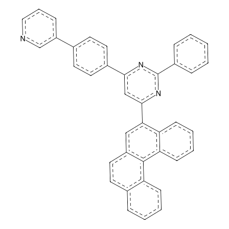 c1ccc(-c2nc(-c3ccc(-c4cccnc4)cc3)cc(-c3cc4ccc5ccccc5c4c4ccccc34)n2)cc1